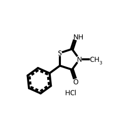 CN1C(=N)SC(c2ccccc2)C1=O.Cl